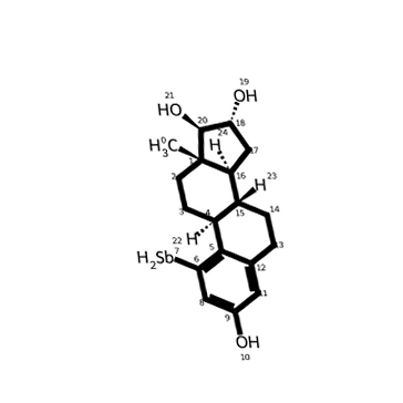 C[C@]12CC[C@@H]3c4[c]([SbH2])cc(O)cc4CC[C@H]3[C@@H]1C[C@@H](O)[C@@H]2O